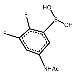 CC(=O)Nc1cc(F)c(F)c(B(O)O)c1